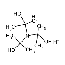 CC(C)(O)N(C(C)(C)O)C(C)(C)O.[H+]